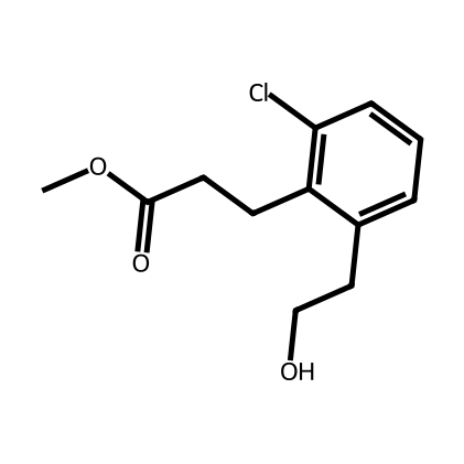 COC(=O)CCc1c(Cl)cccc1CCO